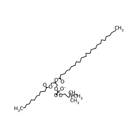 CCCCCCCCCCCCCCCCCCCCCCCC(=O)O[C@H](COC(=O)CCCCCCCCCC)COP(=O)([O-])OCC[N+](C)(C)C